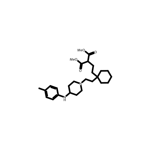 COC(=O)C(CCC1(CCN2CCC(Nc3ccc(C)cc3)CC2)CCCCC1)C(=O)OC